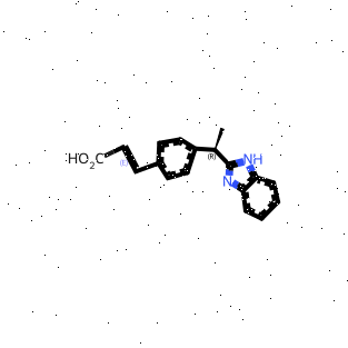 C[C@H](c1ccc(/C=C/C(=O)O)cc1)c1nc2ccccc2[nH]1